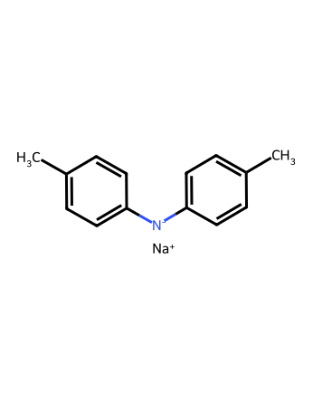 Cc1ccc([N-]c2ccc(C)cc2)cc1.[Na+]